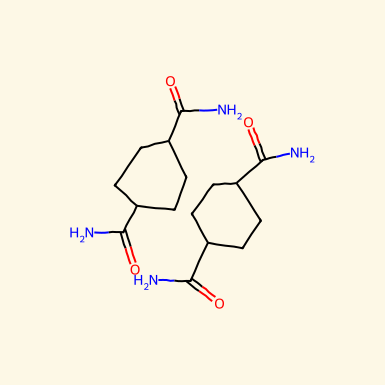 NC(=O)C1CCC(C(N)=O)CC1.NC(=O)C1CCC(C(N)=O)CC1